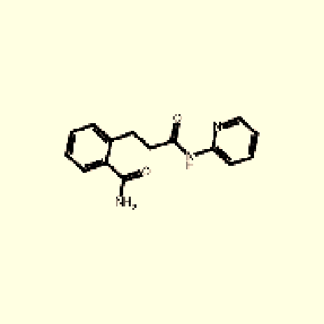 NC(=O)c1ccccc1C[CH]C(=O)Nc1ccccn1